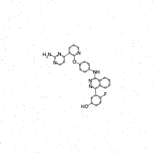 Nc1nccc(-c2cccnc2Oc2ccc(Nc3nnc(-c4cc(O)ccc4F)c4ccccc34)cc2)n1